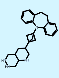 c1ccc2c(c1)CCc1ccccc1N2C12CC(C3CNC4CNNCC4C3)(C1)C2